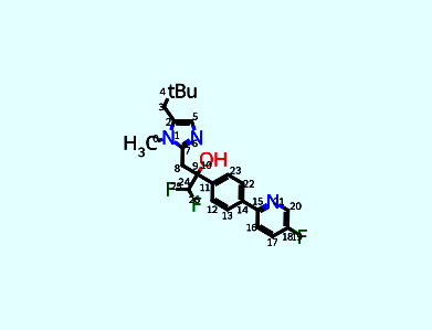 Cn1c(CC(C)(C)C)cnc1CC(O)(c1ccc(-c2ccc(F)cn2)cc1)C(F)F